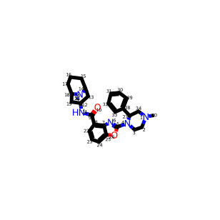 CN1CCN(c2nc3c(C(=O)NC4CC5CCCC(C4)N5C)cccc3o2)C(c2ccccc2)C1